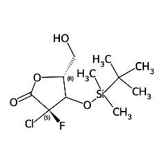 CC(C)(C)[Si](C)(C)OC1[C@@H](CO)OC(=O)[C@@]1(F)Cl